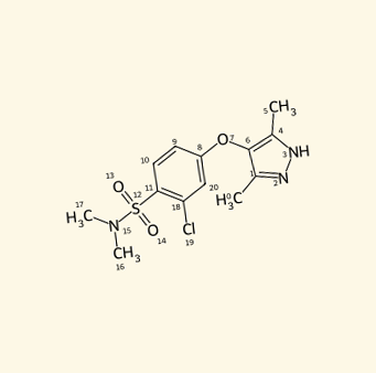 Cc1n[nH]c(C)c1Oc1ccc(S(=O)(=O)N(C)C)c(Cl)c1